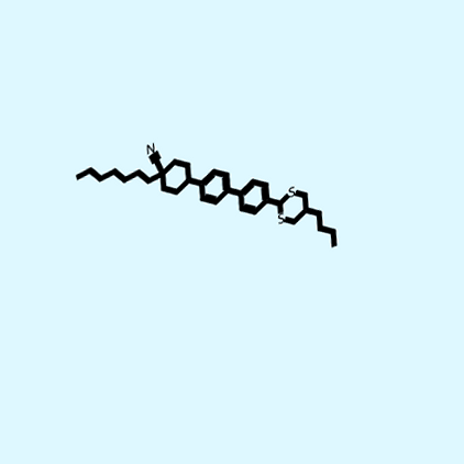 CCCCCCCC1(C#N)CCC(c2ccc(-c3ccc(C4SCC(CCCC)CS4)cc3)cc2)CC1